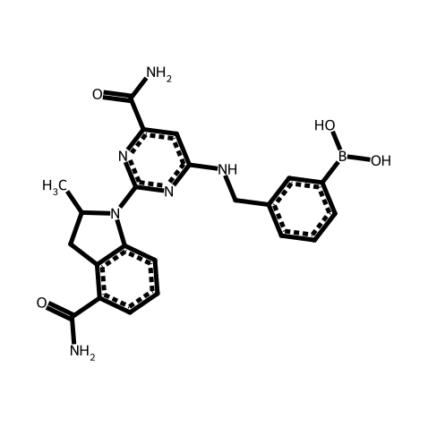 CC1Cc2c(C(N)=O)cccc2N1c1nc(NCc2cccc(B(O)O)c2)cc(C(N)=O)n1